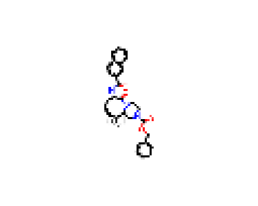 O=C(N[C@H]1C/C=C\C[C@@]2(C(=O)O)CN(C(=O)OCc3ccccc3)CCN2C1=O)c1ccc2ccccc2c1